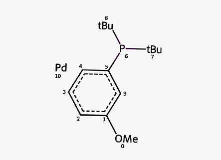 COc1cccc(P(C(C)(C)C)C(C)(C)C)c1.[Pd]